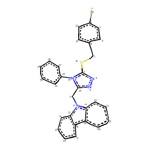 Brc1ccc(CSc2nnc(Cn3c4ccccc4c4ccccc43)n2-c2ccccc2)cc1